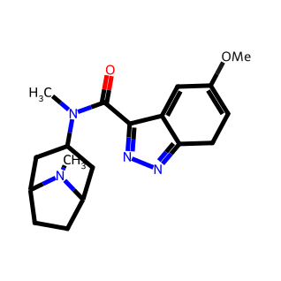 COC1=CCC2=NN=C(C(=O)N(C)C3CC4CCC(C3)N4C)C2=C1